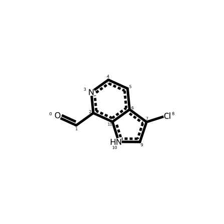 O=Cc1nccc2c(Cl)c[nH]c12